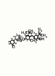 Cc1cc(OCP2(=O)OCC[C@@H](c3cccc(Cl)c3)O2)cc2c1C(c1ccc(O)c(C(C)C)c1)CC2(C)C